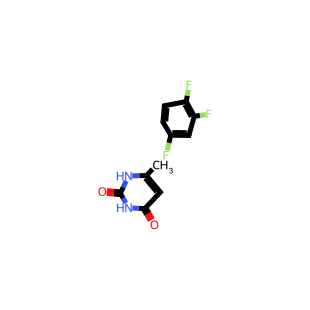 Cc1cc(=O)[nH]c(=O)[nH]1.Fc1ccc(F)c(F)c1